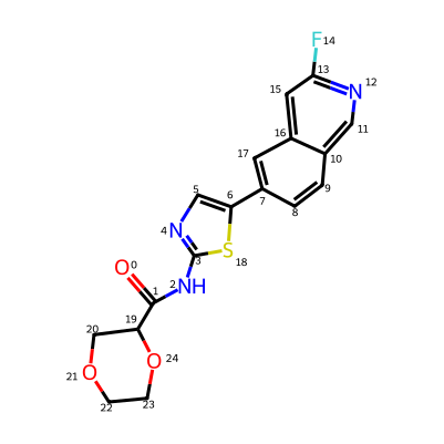 O=C(Nc1ncc(-c2ccc3cnc(F)cc3c2)s1)C1COCCO1